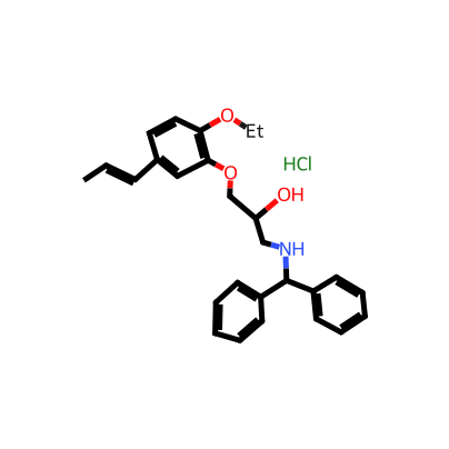 C/C=C/c1ccc(OCC)c(OCC(O)CNC(c2ccccc2)c2ccccc2)c1.Cl